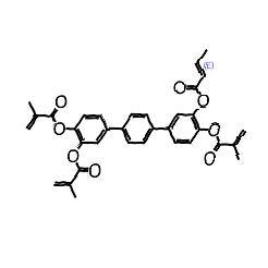 C=C(C)C(=O)Oc1ccc(-c2ccc(-c3ccc(OC(=O)C(=C)C)c(OC(=O)C(=C)C)c3)cc2)cc1OC(=O)/C=C/C